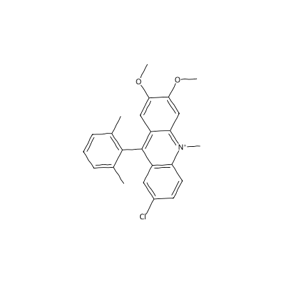 COc1cc2c(-c3c(C)cccc3C)c3cc(Cl)ccc3[n+](C)c2cc1OC